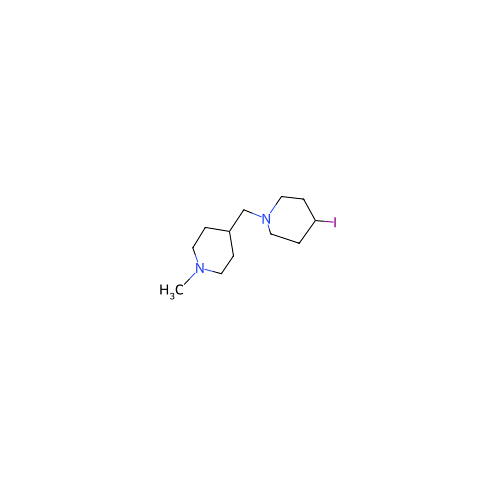 CN1CCC(CN2CCC(I)CC2)CC1